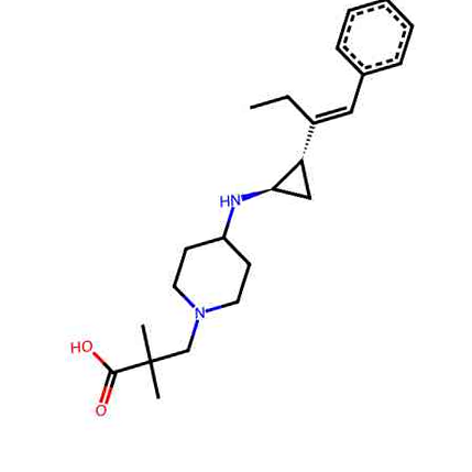 CC/C(=C\c1ccccc1)[C@@H]1C[C@H]1NC1CCN(CC(C)(C)C(=O)O)CC1